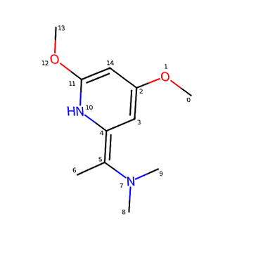 COC1=CC(=C(C)N(C)C)NC(OC)=C1